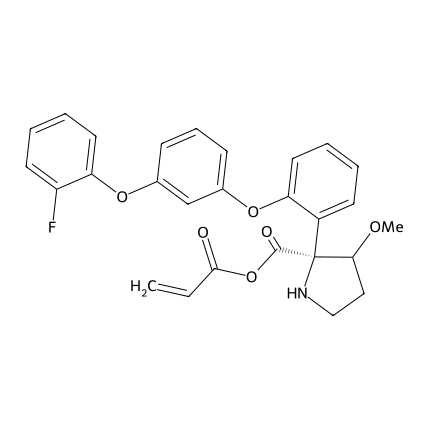 C=CC(=O)OC(=O)[C@@]1(c2ccccc2Oc2cccc(Oc3ccccc3F)c2)NCCC1OC